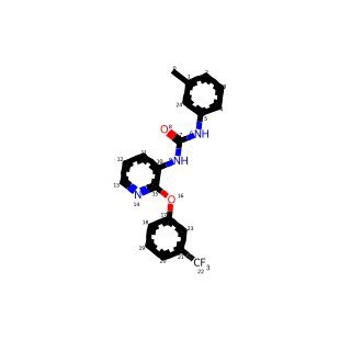 Cc1cccc(NC(=O)Nc2cccnc2Oc2cccc(C(F)(F)F)c2)c1